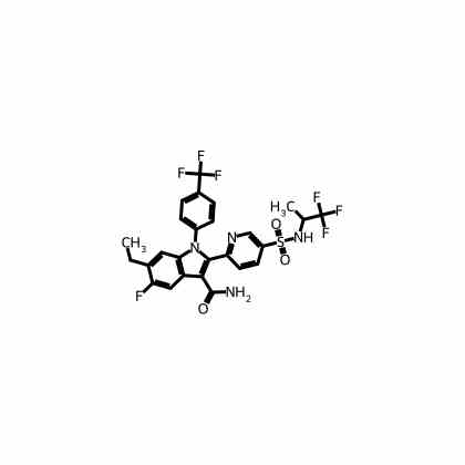 CCc1cc2c(cc1F)c(C(N)=O)c(-c1ccc(S(=O)(=O)NC(C)C(F)(F)F)cn1)n2-c1ccc(C(F)(F)F)cc1